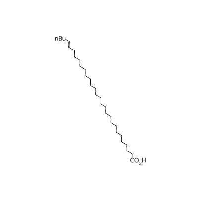 CCCCC=CCCCCCCCCCCCCCCCCCCCCCCCC(=O)O